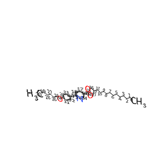 CCCCCCCCCCCCC1COC(c2ccc(-c3ccc(OCCCCCC)cc3)nc2)OC1